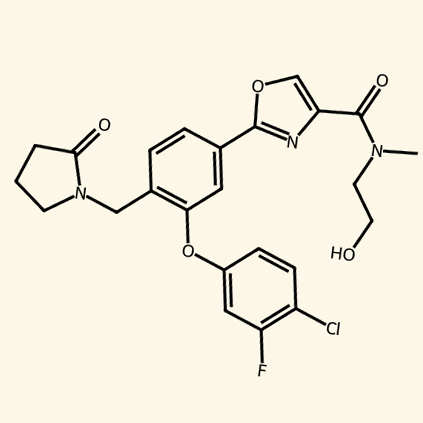 CN(CCO)C(=O)c1coc(-c2ccc(CN3CCCC3=O)c(Oc3ccc(Cl)c(F)c3)c2)n1